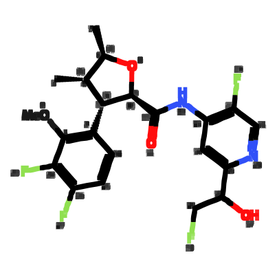 COc1c([C@@H]2[C@H](C)[C@@H](C)O[C@H]2C(=O)Nc2cc(C(O)CF)ncc2F)ccc(F)c1F